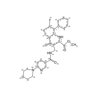 COC(=O)c1[nH]c2c(-c3ccccc3)c(F)ccc2c(=O)c1CNC(=O)c1ccc(N2CCOCC2)nc1